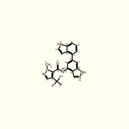 Cn1ncc(C(F)(F)F)c1C(=O)Nc1cc(-c2cccc3[nH]ccc23)cc2[nH]ncc12